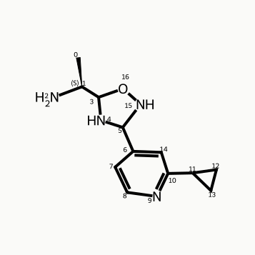 C[C@H](N)C1NC(c2ccnc(C3CC3)c2)NO1